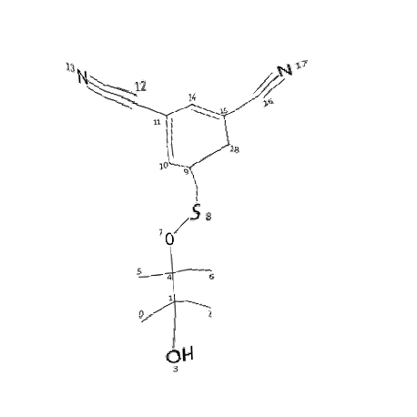 CC(C)(O)C(C)(C)OSC1C=C(C#N)C=C(C#N)C1